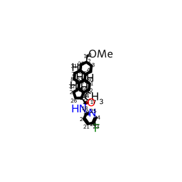 COC[C@H]1CC[C@H]2[C@H](CC[C@@H]3[C@@H]2CC[C@]2(C)[C@@H](C(=O)Nc4ccc(F)cn4)CC[C@@H]32)C1